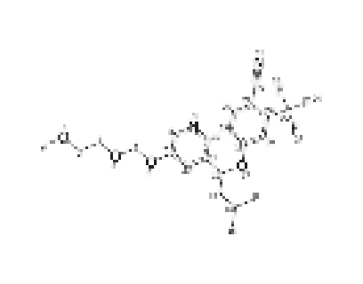 COCCOCOc1cncc(C(CC(C)C)Oc2ccc(C#N)c(C(F)(F)F)c2)c1